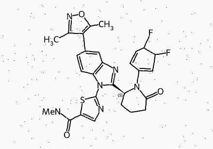 CNC(=O)c1cnc(-n2c([C@@H]3CCCC(=O)N3C3=CC(F)C(F)C=C3)nc3cc(-c4c(C)noc4C)ccc32)s1